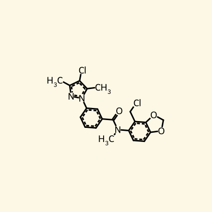 Cc1nn(-c2cccc(C(=O)N(C)c3ccc4c(c3CCl)OCO4)c2)c(C)c1Cl